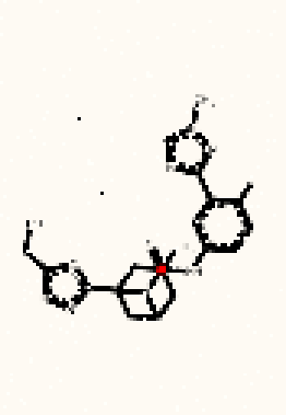 CC1CC2CC(c3nnc(CO)o3)(C1)N2C(=O)Nc1ccc(Cl)c(-c2ncn(C)n2)c1